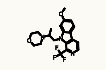 COc1ccc2c3ccnc(C(F)(F)F)c3n(CC(C)N3CCOCC3)c2c1